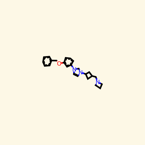 C1=CN(C2CC(CN3CCC3)C2)CN1c1cccc(OCc2ccccc2)c1